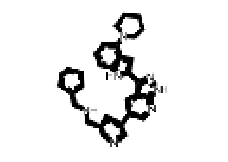 c1ccc(CNCc2cncc(-c3cnc4[nH]nc(-c5cc6c(N7CCCCC7)cccc6[nH]5)c4c3)c2)cc1